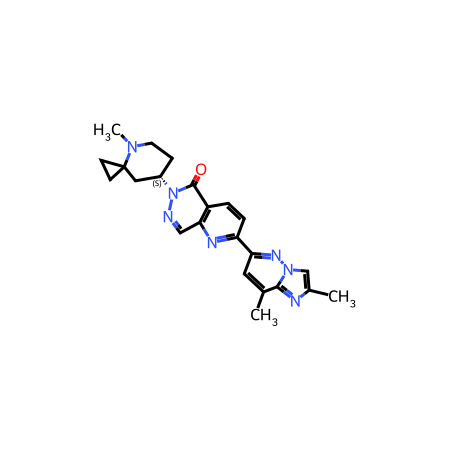 Cc1cn2nc(-c3ccc4c(=O)n([C@H]5CCN(C)C6(CC6)C5)ncc4n3)cc(C)c2n1